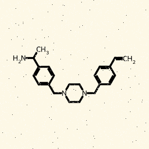 C=Cc1ccc(CN2CCN(Cc3ccc(C(C)N)cc3)CC2)cc1